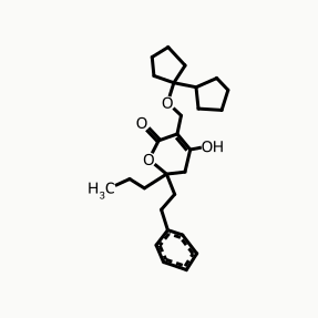 CCCC1(CCc2ccccc2)CC(O)=C(COC2(C3CCCC3)CCCC2)C(=O)O1